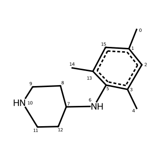 Cc1cc(C)c(NC2CCNCC2)c(C)c1